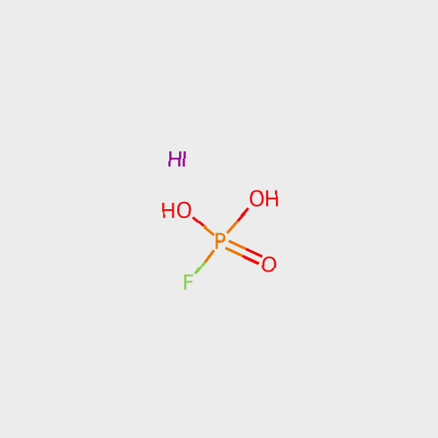 I.O=P(O)(O)F